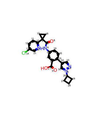 O=C(O)c1cc(NC(=O)C2(c3ccc(Cl)cn3)CC2)ccc1-c1cnn(C2CCC2)c1